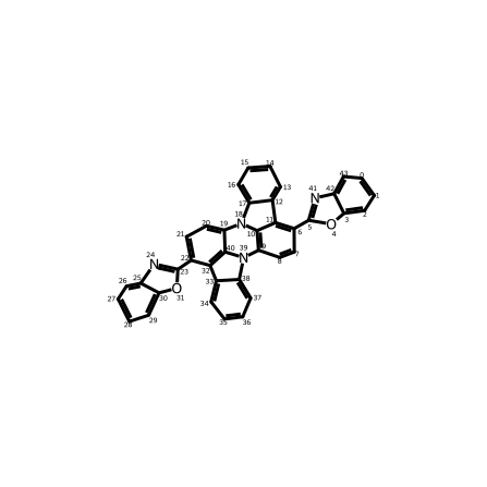 c1ccc2oc(-c3ccc4c5c3c3ccccc3n5c3ccc(-c5nc6ccccc6o5)c5c6ccccc6n4c53)nc2c1